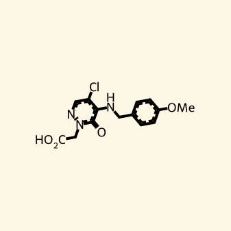 COc1ccc(CNc2c(Cl)cnn(CC(=O)O)c2=O)cc1